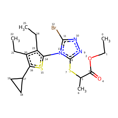 CCOC(=O)C(C)Sc1nnc(Br)n1-c1sc(C2CC2)c(CC)c1CC